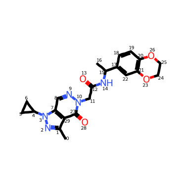 Cc1nn(C2CC2)c2cnn(CC(=O)NC(C)c3ccc4c(c3)OCCO4)c(=O)c12